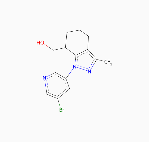 OCC1CCCc2c(C(F)(F)F)nn(-c3cncc(Br)c3)c21